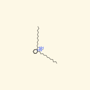 CCCCCCCCCCCC(NC)c1ccccc1C(CCCCCCCCCCC)NC